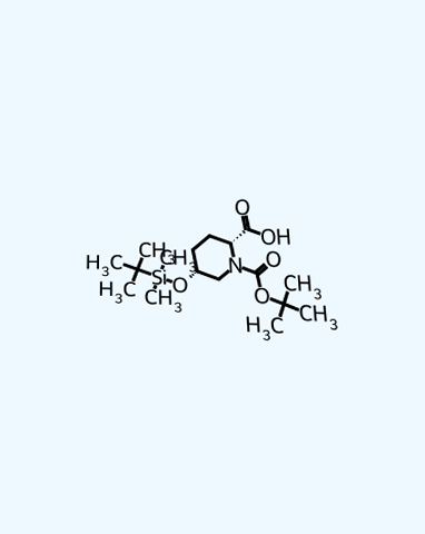 CC(C)(C)OC(=O)N1C[C@H](O[Si](C)(C)C(C)(C)C)CC[C@@H]1C(=O)O